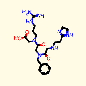 N=C(N)NCCCN(CC(=O)O)C(=O)CN(Cc1ccccc1)C(=O)CNCCc1ncc[nH]1